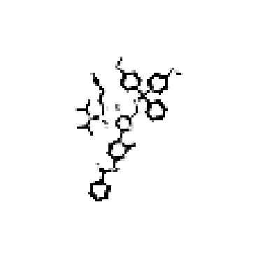 COc1ccc(C(OC[C@H]2O[C@@H](n3ccc(NC(=O)c4ccccc4)nc3=O)[C@H](OP(OCCC#N)N(C(C)C)C(C)C)[C@@H]2F)(c2ccccc2)c2ccc(OC)cc2)cc1